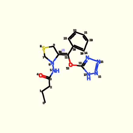 CCCC(=O)NN1CSC/C1=C(/Oc1nnn[nH]1)c1ccccc1